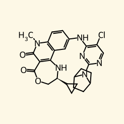 Cn1c(=O)c2c(c3cc(Nc4nc(N5C6CCC5CC6)ncc4Cl)ccc31)N[C@@H](C1CC1)COC2=O